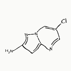 Nc1cc2ncc(Cl)cn2n1